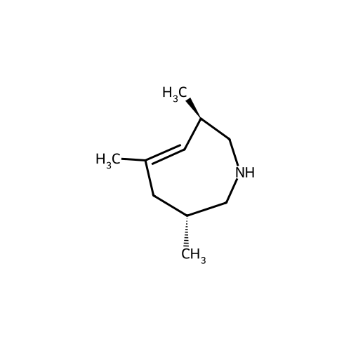 C/C1=C\[C@@H](C)CNC[C@H](C)C1